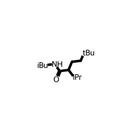 CCC(C)NC(=O)C(CCC(C)(C)C)C(C)C